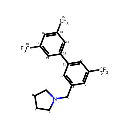 FC(F)(F)c1cc(CN2CCCC2)cc(-c2cc(C(F)(F)F)cc(C(F)(F)F)c2)c1